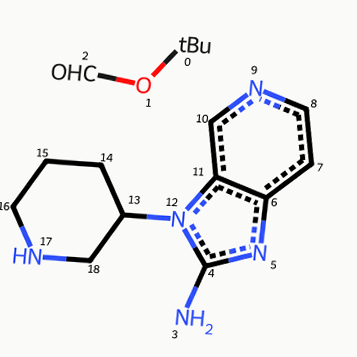 CC(C)(C)OC=O.Nc1nc2ccncc2n1C1CCCNC1